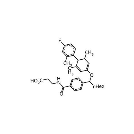 CCCCCCC(OC1=CC(C)C(c2ccc(F)cc2C)C(C)=C1)c1ccc(C(=O)NCCC(=O)O)cc1